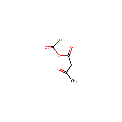 CC(=O)CC(=O)OC(=O)Cl